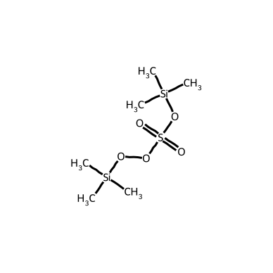 C[Si](C)(C)OOS(=O)(=O)O[Si](C)(C)C